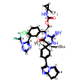 CC(C)(C)C[C@]1(C2(C)C=CC(c3cnc4ccccn34)=CC2)NC(=N)N([C@H](COC(=O)NC2(C(F)(F)F)CC2)c2ccc(Cl)c(-c3ncnn3C(F)F)c2)C1=O